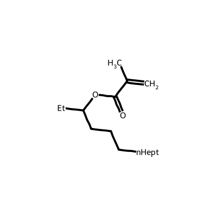 C=C(C)C(=O)OC(CC)CCCCCCCCCC